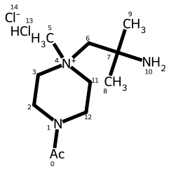 CC(=O)N1CC[N+](C)(CC(C)(C)N)CC1.Cl.[Cl-]